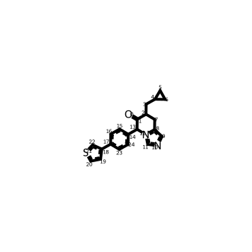 O=C1C(CC2CC2)Cc2cncn2C1c1ccc(-c2ccsc2)cc1